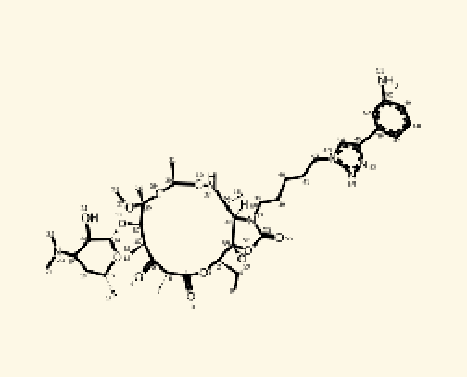 CC[C@H]1OC(=O)[C@H](C)C(=O)[C@@H](C)[C@@H](O[C@@H]2O[C@H](C)CC(N(C)C)C2O)[C@](C)(OC)C[C@@H](C)CN[C@H](C)[C@H]2N(CCCCCn3cc(-c4cccc(N)c4)nn3)C(=O)O[C@]12Cl